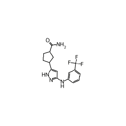 NC(=O)C1CCC(c2cc(Nc3cccc(C(F)(F)F)c3)n[nH]2)C1